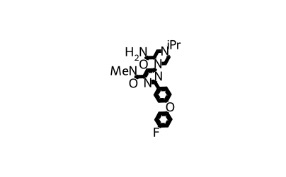 CNC(=O)c1cc(N2CCN(C(C)C)CC2C(N)=O)nc(-c2ccc(Oc3ccc(F)cc3)cc2)n1